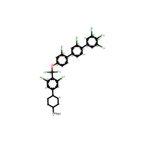 CCCCCCCC1CCC(c2cc(F)c(C(F)(F)Oc3ccc(-c4ccc(-c5cc(F)c(F)c(F)c5)c(F)c4)c(F)c3)c(F)c2)CC1